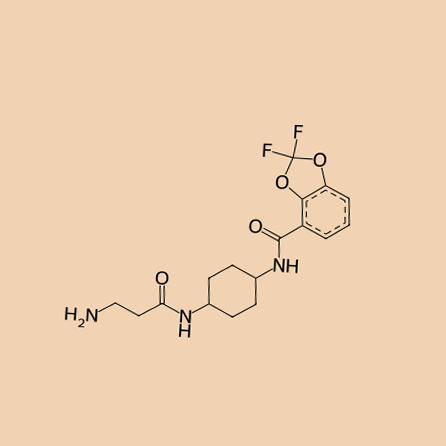 NCCC(=O)NC1CCC(NC(=O)c2cccc3c2OC(F)(F)O3)CC1